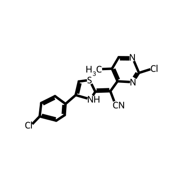 Cc1cnc(Cl)nc1C(C#N)=C1NC(c2ccc(Cl)cc2)=CS1